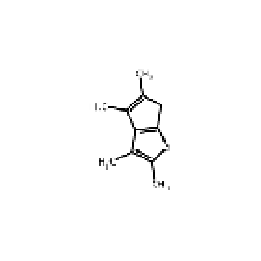 CC1=C(C)c2c(sc(C)c2C)C1